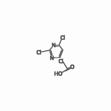 Clc1ccnc(Cl)n1.O=C(O)Cl